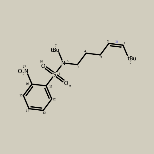 CC(C)(C)/C=C\CCCN(C(C)(C)C)S(=O)(=O)c1ccccc1[N+](=O)[O-]